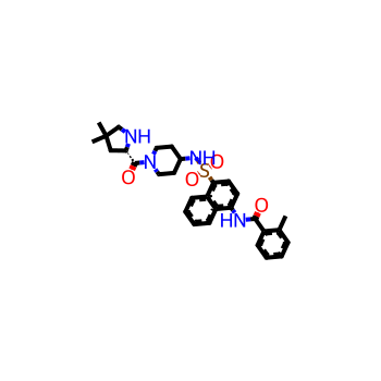 Cc1ccccc1C(=O)Nc1ccc(S(=O)(=O)NC2CCN(C(=O)[C@@H]3CC(C)(C)CN3)CC2)c2ccccc12